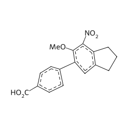 COc1c(-c2ccc(C(=O)O)cc2)cc2c(c1[N+](=O)[O-])CCC2